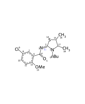 CCCCN1/C(=N\C(=O)c2cc(Cl)ccc2OC)SC(C)C1C